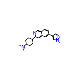 CN(C)C1CCC(c2cc3cc(-c4cnn(C)c4)ccc3cn2)CC1